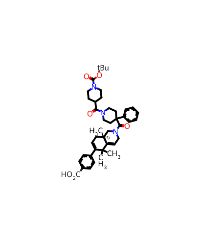 CC(C)(C)OC(=O)N1CCC(C(=O)N2CCC(C(=O)N3CC=C4C(C)(C)C(c5ccc(C(=O)O)cc5)=CC[C@]4(C)C3)(c3ccccc3)CC2)CC1